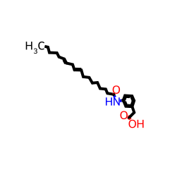 CCCCC/C=C/C/C=C/CCCCCCCC(=O)Nc1cccc(CC(=O)O)c1